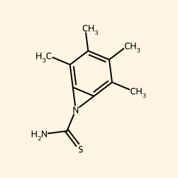 Cc1c(C)c(C)c2c(c1C)N2C(N)=S